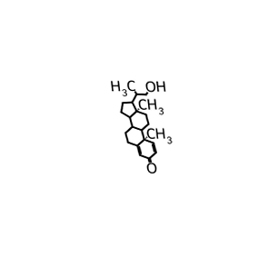 CC(CO)C1CCC2C3CCC4=CC(=O)C=C[C@]4(C)C3CC[C@]12C